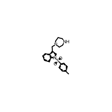 Cc1ccc(S(=O)(=O)n2cc(CN3CCCNCC3)c3ccccc32)cc1